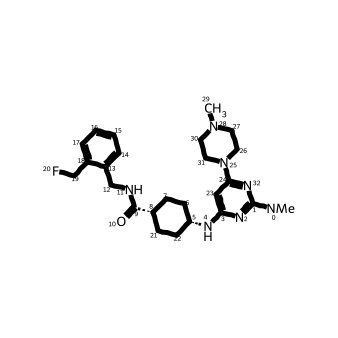 CNc1nc(N[C@H]2CC[C@@H](C(=O)NCc3ccccc3CF)CC2)cc(N2CCN(C)CC2)n1